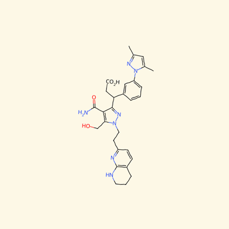 Cc1cc(C)n(-c2cccc(C(CC(=O)O)c3nn(CCc4ccc5c(n4)NCCC5)c(CO)c3C(N)=O)c2)n1